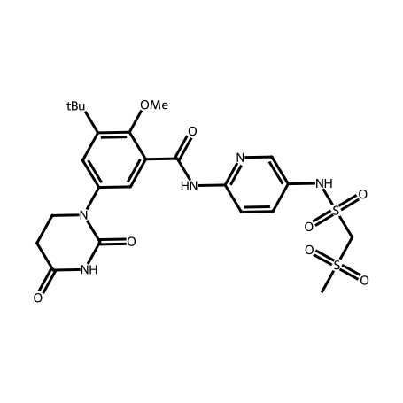 COc1c(C(=O)Nc2ccc(NS(=O)(=O)CS(C)(=O)=O)cn2)cc(N2CCC(=O)NC2=O)cc1C(C)(C)C